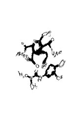 CN(C)C(=O)Nc1ccc(Cl)c(Cl)c1.CSC(=O)c1c(C(F)F)nc(C(F)(F)F)c(C(=O)SC)c1CC(C)C